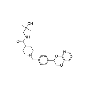 CC(C)(O)CNC(=O)C1CCN(Cc2ccc(C3COc4cccnc4O3)cc2)CC1